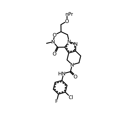 CCCOCC1Cn2nc3c(c2C(=O)N(C)O1)CN(C(=O)Nc1ccc(F)c(Cl)c1)CC3